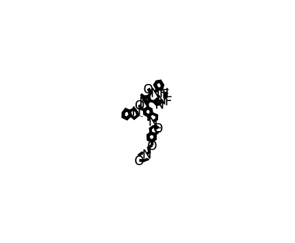 Cc1c(C(=O)Nc2ccccc2)c(-c2cnn(C(F)F)c2)c(-c2cc3c(cc2C(=O)N2Cc4ccccc4C[C@H]2C)CN(C(=O)Cc2ccc(OCCN4CCOCC4)cc2F)CC3)n1C